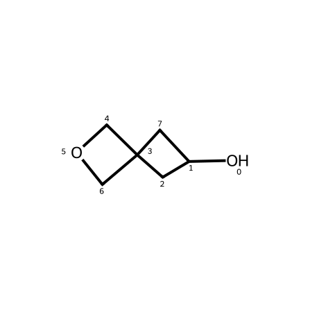 OC1CC2(COC2)C1